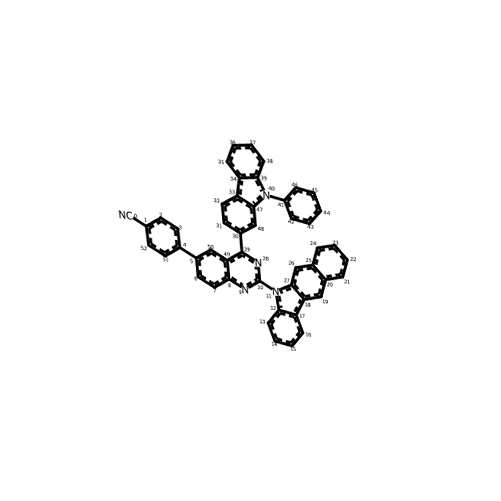 N#Cc1ccc(-c2ccc3nc(-n4c5ccccc5c5cc6ccccc6cc54)nc(-c4ccc5c6ccccc6n(-c6ccccc6)c5c4)c3c2)cc1